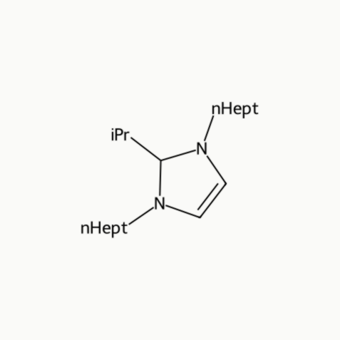 CCCCCCCN1C=CN(CCCCCCC)C1C(C)C